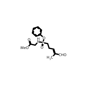 COC(=O)CNP(=O)(CC/C=C(\C)C=O)Oc1ccccc1